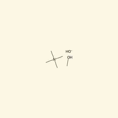 CO.C[N+](C)(C)C.[OH-]